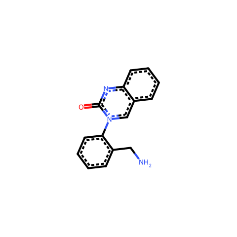 NCc1ccccc1-n1cc2ccccc2nc1=O